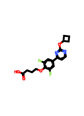 O=C(O)CCCOc1c(F)cc(-c2ccnc(OC3CCC3)n2)cc1F